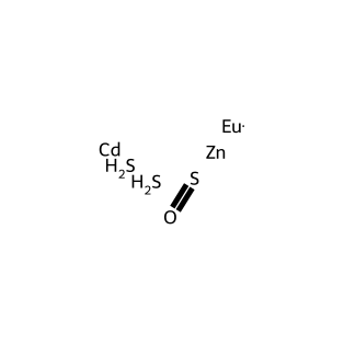 O=S.S.S.[Cd].[Eu].[Zn]